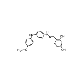 COc1ccc(Nc2ccc(NN=Cc3ccc(O)cc3O)cc2)cc1